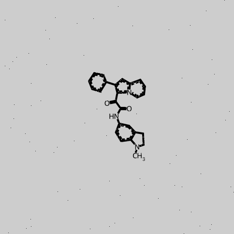 CN1CCc2cc(NC(=O)C(=O)c3c(-c4ccccc4)cc4ccccn34)ccc21